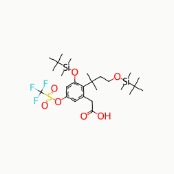 CC(C)(CCO[Si](C)(C)C(C)(C)C)c1c(CC(=O)O)cc(OS(=O)(=O)C(F)(F)F)cc1O[Si](C)(C)C(C)(C)C